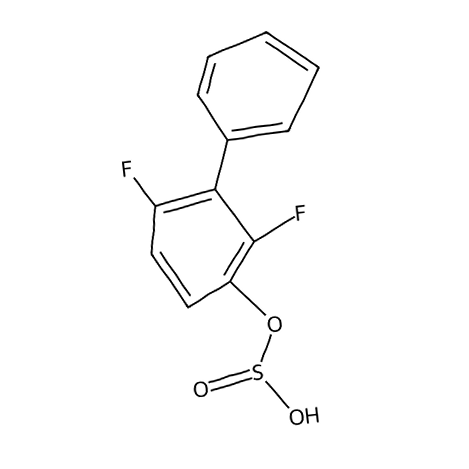 O=S(O)Oc1ccc(F)c(-c2ccccc2)c1F